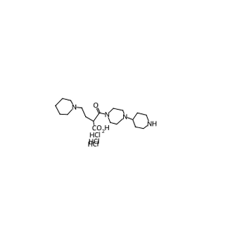 Cl.Cl.Cl.O=C(O)C(CCN1CCCCC1)C(=O)N1CCN(C2CCNCC2)CC1